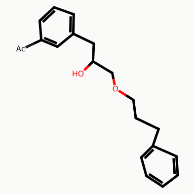 CC(=O)c1cccc(CC(O)COCCCc2ccccc2)c1